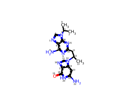 CC(C)n1cnc2c(N)nc(CC(C)n3cnc4c(=O)[nH]c(N)cc43)nc21